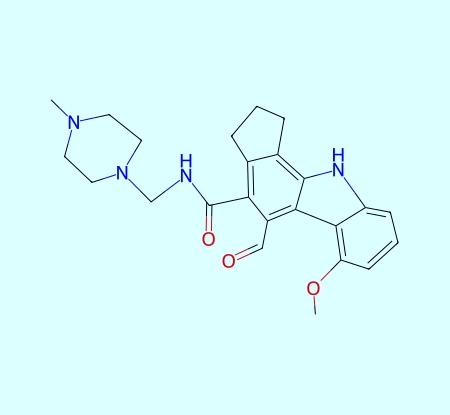 COc1cccc2[nH]c3c4c(c(C(=O)NCN5CCN(C)CC5)c(C=O)c3c12)CCC4